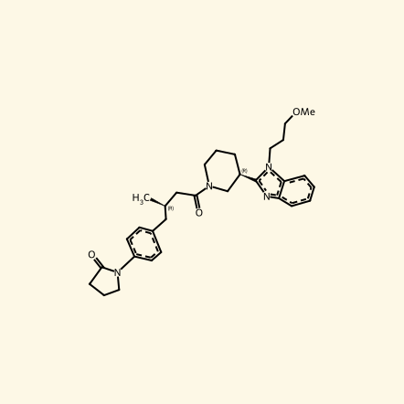 COCCCn1c([C@@H]2CCCN(C(=O)C[C@H](C)Cc3ccc(N4CCCC4=O)cc3)C2)nc2ccccc21